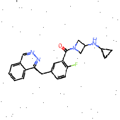 O=C(c1cc(Cc2nncc3ccccc23)ccc1F)N1CC(NC2CC2)C1